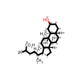 CC(C)C(CC[C@@H](C)[C@H]1CC[C@H]2[C@@H]3CC[C@H]4CCC(O)C[C@]4(C)[C@H]3CC[C@]12C)C(=O)O